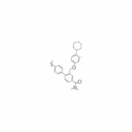 CSc1ccc(-c2ccc(C(=O)N(C)C)cc2COc2c[c]c(C3CCCCC3)cc2)cc1